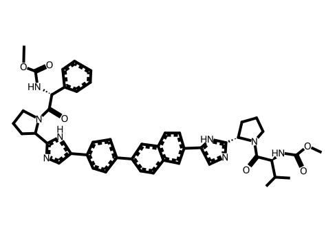 COC(=O)N[C@H](C(=O)N1CCC[C@H]1c1ncc(-c2ccc3cc(-c4ccc(-c5cnc(C6CCCN6C(=O)[C@H](NC(=O)OC)c6ccccc6)[nH]5)cc4)ccc3c2)[nH]1)C(C)C